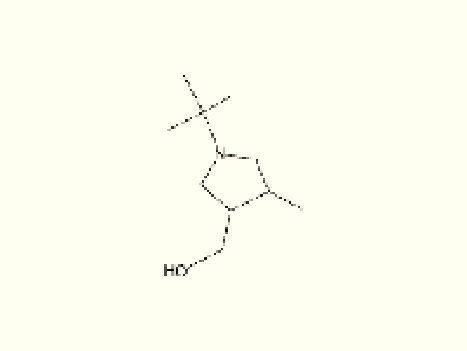 CC1CN(C(C)(C)C)CC1CO